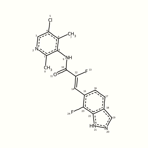 Cc1ncc(Cl)c(C)c1NC(=O)/C(F)=C/c1ccc2cn[nH]c2c1F